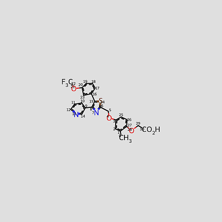 Cc1cc(OCc2nc(-c3cccnc3)c(-c3cccc(OC(F)(F)F)c3)s2)ccc1OCC(=O)O